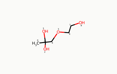 CC(O)(O)COCCO